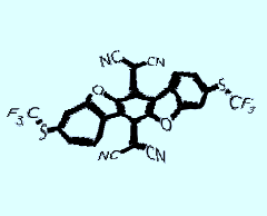 N#CC(C#N)=c1c2oc3cc(SC(F)(F)F)ccc3c2c(=C(C#N)C#N)c2oc3cc(SC(F)(F)F)ccc3c12